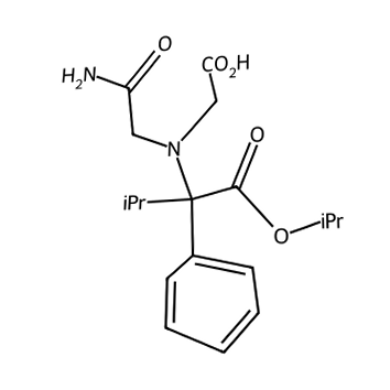 CC(C)OC(=O)C(c1ccccc1)(C(C)C)N(CC(N)=O)CC(=O)O